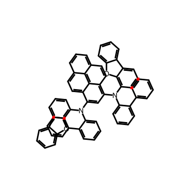 c1ccc(-c2ccccc2N(c2cc(N(c3ccccc3-c3ccccc3)c3cccc4c3oc3ccccc34)c3ccc4cccc5ccc2c3c54)c2cccc3c2oc2ccccc23)cc1